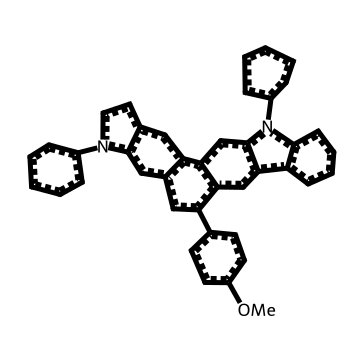 COc1ccc(-c2cc3cc4c(ccn4-c4ccccc4)cc3c3cc4c(cc23)c2ccccc2n4-c2ccccc2)cc1